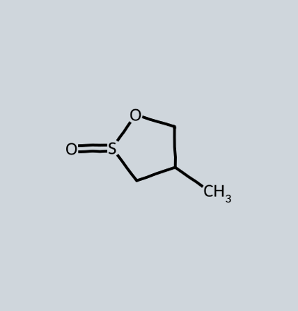 CC1COS(=O)C1